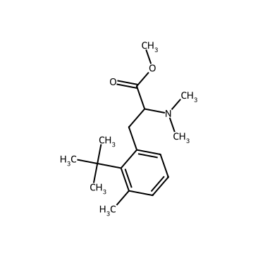 COC(=O)C(Cc1cccc(C)c1C(C)(C)C)N(C)C